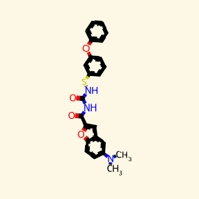 CN(C)c1ccc2oc(C(=O)NC(=O)NSc3cccc(Oc4ccccc4)c3)cc2c1